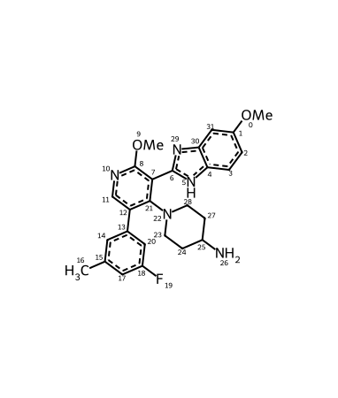 COc1ccc2[nH]c(-c3c(OC)ncc(-c4cc(C)cc(F)c4)c3N3CCC(N)CC3)nc2c1